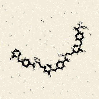 CCN(CCc1cc(=O)n(Cc2ccc(C(=O)N(C)C(C)C)cc2)cn1)C(=O)c1ccc(Cn2cnc(CCN(C)C(=O)c3ccc(Cn4cnccc4=O)cc3)cc2=O)cc1